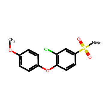 CNS(=O)(=O)c1ccc(Oc2ccc(OC(F)(F)F)cc2)c(Cl)c1